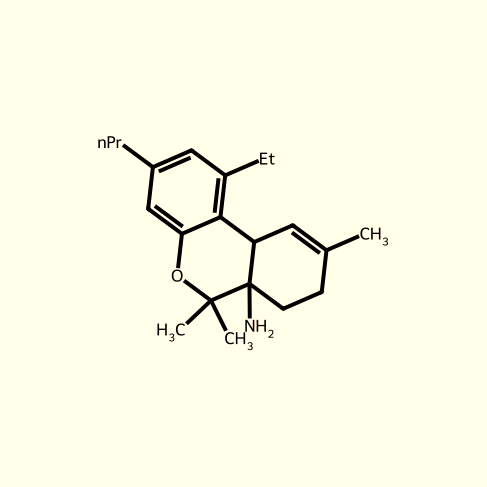 CCCc1cc(CC)c2c(c1)OC(C)(C)C1(N)CCC(C)=CC21